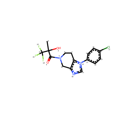 CC(O)(C(=O)N1CCc2c(ncn2-c2ccc(Cl)cc2)C1)C(F)(F)F